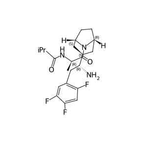 CC(C)C(=O)N[C@H](C)C(=O)N1[C@@H]2CC[C@H]1C[C@H]([C@H](N)Cc1cc(F)c(F)cc1F)C2